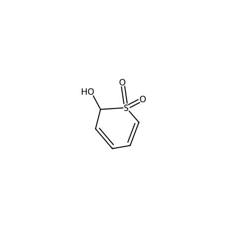 O=S1(=O)C=CC=CC1O